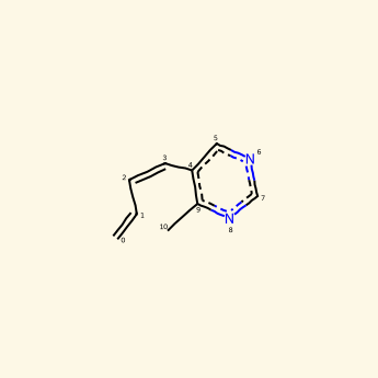 C=C/C=C\c1cncnc1C